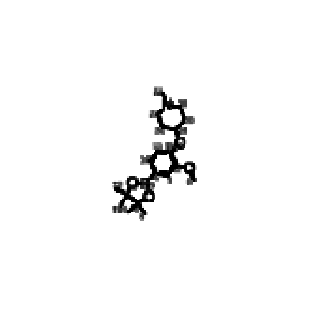 COc1cc(B2OC(C)(C)C(C)(C)O2)ccc1OC1CCN(C)CC1